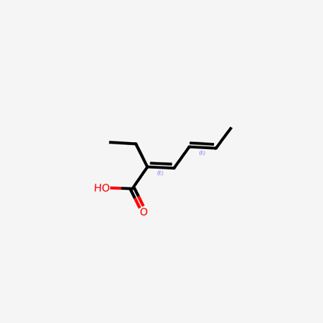 C/C=C/C=C(\CC)C(=O)O